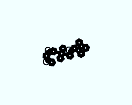 c1ccc2c(c1)-c1ccccc1C21c2ccccc2-c2c1ccc1oc3c(-c4c5ccccc5c(-c5ccc6oc7ccc8oc9ccccc9c8c7c6c5)c5ccccc45)cccc3c21